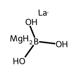 OB(O)O.[La].[MgH2]